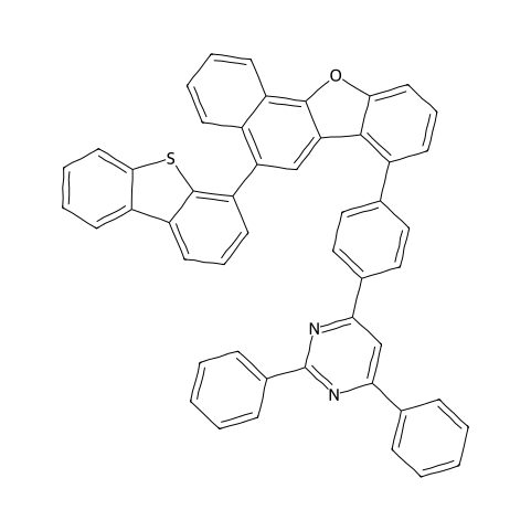 c1ccc(-c2cc(-c3ccc(-c4cccc5oc6c7ccccc7c(-c7cccc8c7sc7ccccc78)cc6c45)cc3)nc(-c3ccccc3)n2)cc1